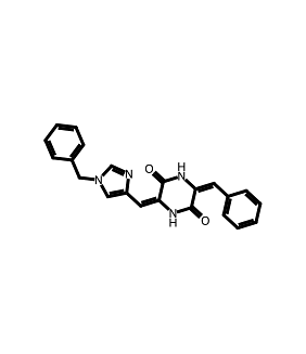 O=c1[nH]c(=Cc2cn(Cc3ccccc3)cn2)c(=O)[nH]c1=Cc1ccccc1